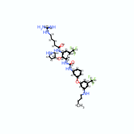 CCCCNc1cc(Oc2cccc(NC(=O)Nc3cc(C(F)(F)F)cc(NC(=O)CCCCNC(=N)N)c3O[C@@H]3CCNC3)c2)cc(C(F)(F)F)c1